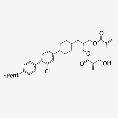 C=C(C)C(=O)OCC(COC(=O)C(=C)CO)CC1CCC(c2ccc(-c3ccc(CCCCC)cc3)c(Cl)c2)CC1